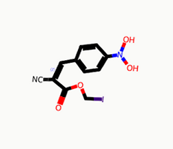 N#C/C(=C/c1ccc(N(O)O)cc1)C(=O)OCI